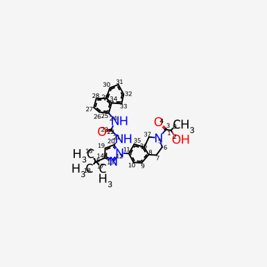 CC(O)C(=O)N1CCc2ccc(-n3nc(C(C)(C)C)cc3NC(=O)Nc3cccc4ccccc34)cc2C1